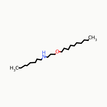 CCCCCCCCCCOCCCNCCCCCCCC